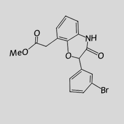 COC(=O)Cc1cccc2c1OC(c1cccc(Br)c1)C(=O)N2